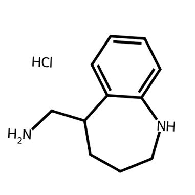 Cl.NCC1CCCNc2ccccc21